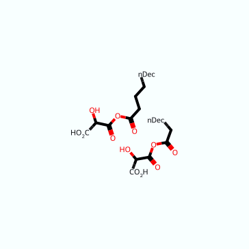 CCCCCCCCCCCC(=O)OC(=O)C(O)C(=O)O.CCCCCCCCCCCCCC(=O)OC(=O)C(O)C(=O)O